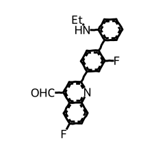 CCNc1ccccc1-c1ccc(-c2cc(C=O)c3cc(F)ccc3n2)cc1F